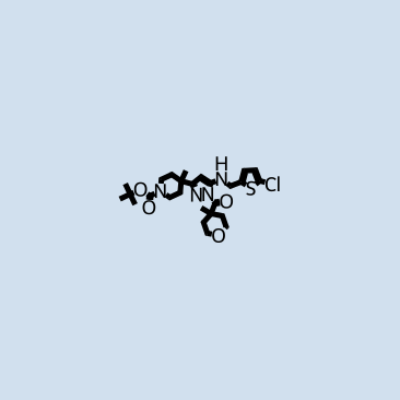 CC(C)(C)OC(=O)N1CCC(C)(c2cc(NCc3ccc(Cl)s3)n(C(=O)C3(C)CCOCC3)n2)CC1